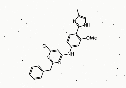 COc1cc(Nc2cc(Cl)nc(Cc3ccccc3)n2)ccc1-c1nc(C)c[nH]1